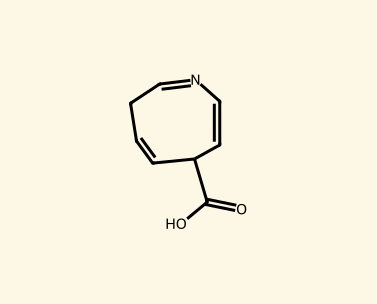 O=C(O)C1C=CC/C=N\C=C/1